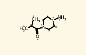 CC(C)C(=O)N1CCN(N)CC1